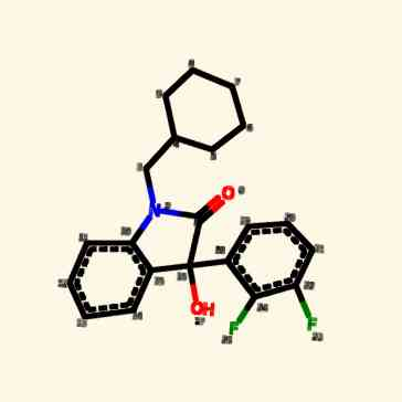 O=C1N(CC2CCCCC2)c2ccccc2C1(O)c1cccc(F)c1F